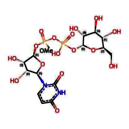 COP(=O)(O[C@H]1O[C@@H](n2ccc(=O)[nH]c2=O)[C@H](O)[C@@H]1O)OP(=O)(O)O[C@H]1O[C@H](CO)[C@@H](O)[C@H](O)[C@H]1O